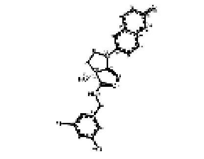 O=C(NCc1cc(F)cc(Cl)c1)[C@@]1(O)CCN(c2ccc3[nH]c(=O)ccc3c2)C1=O